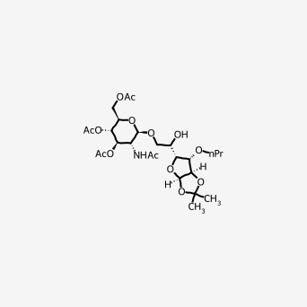 CCCO[C@@H]1[C@H]2OC(C)(C)O[C@H]2O[C@@H]1C(O)CO[C@@H]1O[C@H](COC(C)=O)[C@@H](OC(C)=O)[C@H](OC(C)=O)[C@H]1NC(C)=O